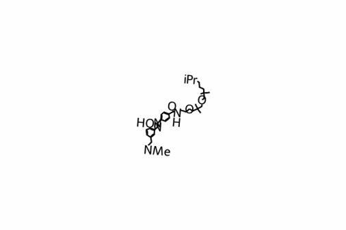 CNCCc1ccc(O)c(/N=N/c2ccc(C(=O)NCCOCC(C)(C)COCC(C)(C)CCCC(C)C)cc2)c1